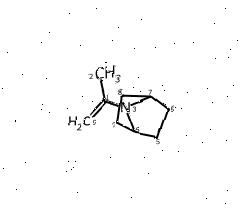 C=C(C)N1C2CCC1CC2